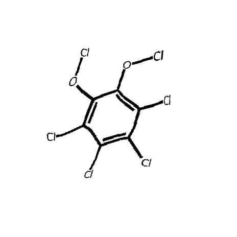 ClOc1c(Cl)c(Cl)c(Cl)c(Cl)c1OCl